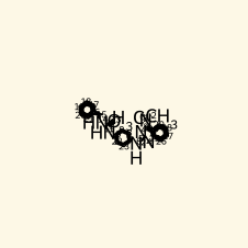 CN(C)c1nc(N[C@H]2CC[C@@H](NC(=O)NCc3ccccc3)CC2)nc2ccccc12